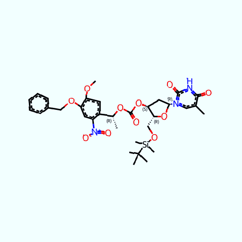 COc1cc([C@@H](C)OC(=O)O[C@H]2C[C@H](n3cc(C)c(=O)[nH]c3=O)O[C@@H]2CO[Si](C)(C)C(C)(C)C)c([N+](=O)[O-])cc1OCc1ccccc1